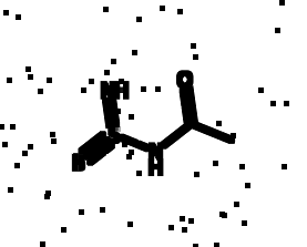 B#S(=N)NC(C)=O